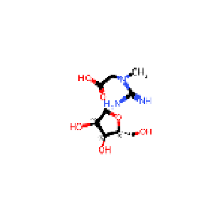 CN(CC(=O)O)C(=N)N.OC[C@H]1OC[C@H](O)[C@@H]1O